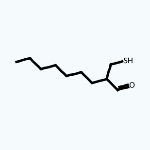 CCCCCCCC([C]=O)CS